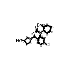 O=c1nc(N2CCC(O)C2)c2ccc(Cl)cc2n1-c1ccccc1Br